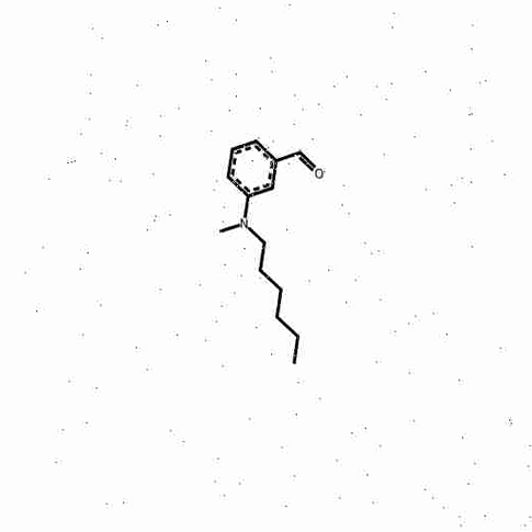 CCCCCCN(C)c1cccc([C]=O)c1